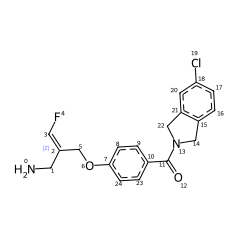 NC/C(=C/F)COc1ccc(C(=O)N2Cc3ccc(Cl)cc3C2)cc1